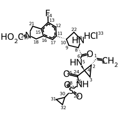 C=C[C@@H]1C[C@]1(NC(=O)[C@@H]1C[C@H](c2cc(F)c3c(c2)CN(C(=O)O)C3)CN1)C(=O)NS(=O)(=O)C1CC1.Cl